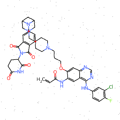 C=CC(=O)Nc1cc2c(Nc3ccc(F)c(Cl)c3)ncnc2cc1OCCCN1CCC(CN2CC3CC(C2)N3c2ccc3c(c2)C(=O)N(C2CCC(=O)NC2=O)C3=O)CC1